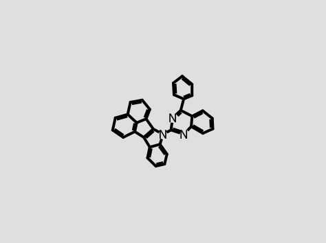 c1ccc(-c2nc(-n3c4c(c5ccccc53)-c3cccc5cccc-4c35)nc3ccccc23)cc1